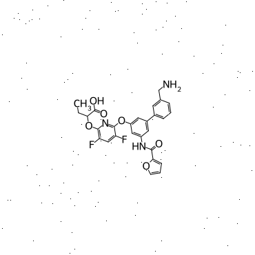 CCC(Oc1nc(Oc2cc(NC(=O)c3ccco3)cc(-c3cccc(CN)c3)c2)c(F)cc1F)C(=O)O